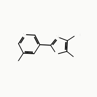 Cc1nc(-c2cncc(Cl)c2)sc1Br